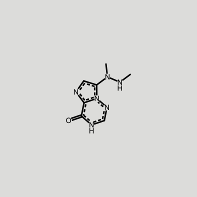 CNN(C)c1cnc2c(=O)[nH]cnn12